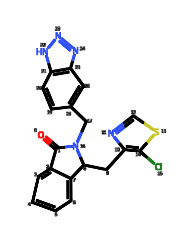 O=C1c2ccccc2C(Cc2ncsc2Cl)N1Cc1ccc2[nH]nnc2c1